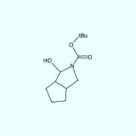 CC(C)(C)OC(=O)N1CC2CCCC2C1O